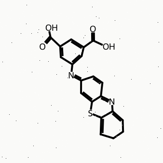 O=C(O)c1cc(/N=c2\ccc3nc4c(sc-3c2)=CCCC=4)cc(C(=O)O)c1